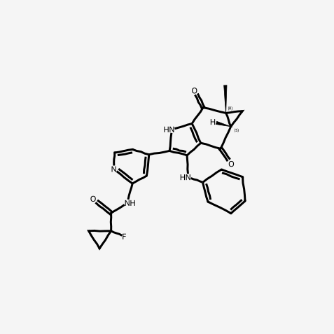 C[C@@]12C[C@@H]1C(=O)c1c([nH]c(-c3ccnc(NC(=O)C4(F)CC4)c3)c1Nc1ccccc1)C2=O